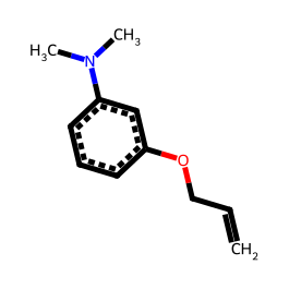 C=CCOc1cccc(N(C)C)c1